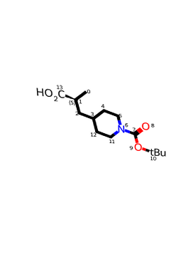 C[C@@H](CC1CCN(C(=O)OC(C)(C)C)CC1)C(=O)O